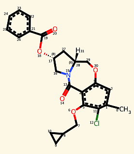 Cc1cc2c(c(OCC3CC3)c1Cl)C(=O)N1C[C@H](OC(=O)c3ccccc3)C[C@@H]1CO2